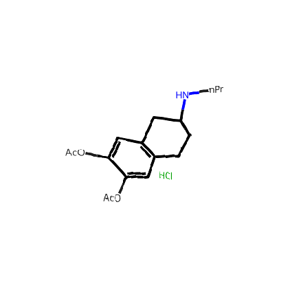 CCCNC1CCc2cc(OC(C)=O)c(OC(C)=O)cc2C1.Cl